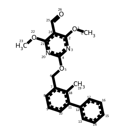 COc1nc(OCc2cccc(-c3ccccc3)c2C)nc(OC)c1C=O